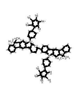 [2H]c1c([2H])c([2H])c(-c2ccc(-n3c4cc(-c5ccc6c7cc8c(cc7n(-c7ccc(-c9c([2H])c([2H])c([2H])c([2H])c9[2H])cc7)c6c5)C(C)(C)c5ccccc5-8)ccc4c4cc5c(cc43)C(C)(C)c3ccccc3-5)cc2)c([2H])c1[2H]